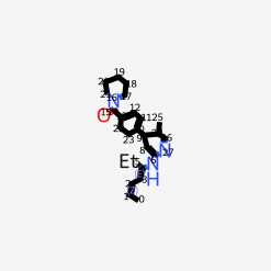 C/C=C\C=C(/CC)NC1=CC(C2=CC=C(C(=O)N3CCCCC3)CC2)C(C)C=N1